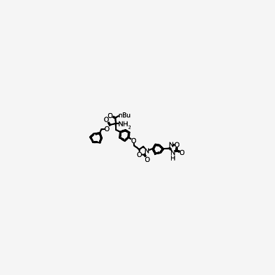 CCCCC(=O)C(N)(Cc1ccc(OCC2CN(c3ccc(-c4noc(=O)[nH]4)cc3)C(=O)O2)cc1)C(=O)OCc1ccccc1